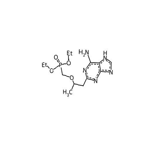 CCOP(=O)(COC(C)Cc1nc(N)c2[nH]cnc2n1)OCC